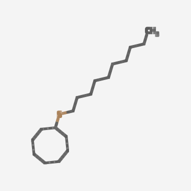 CCCCCCCCCCSC1CCCCCCC1